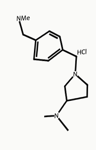 CNCc1ccc(CN2CCC(N(C)C)C2)cc1.Cl